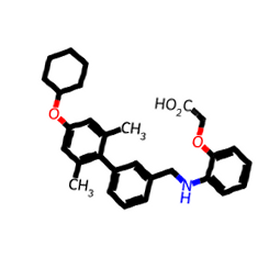 Cc1cc(OC2CCCCC2)cc(C)c1-c1cccc(CNc2ccccc2OCC(=O)O)c1